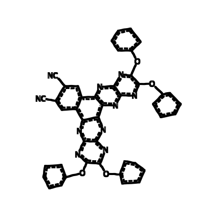 N#Cc1cc2c(cc1C#N)c1nc3nc(Oc4ccccc4)c(Oc4ccccc4)nc3nc1c1nc3nc(Oc4ccccc4)c(Oc4ccccc4)nc3nc21